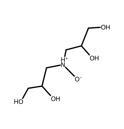 [O-][NH+](CC(O)CO)CC(O)CO